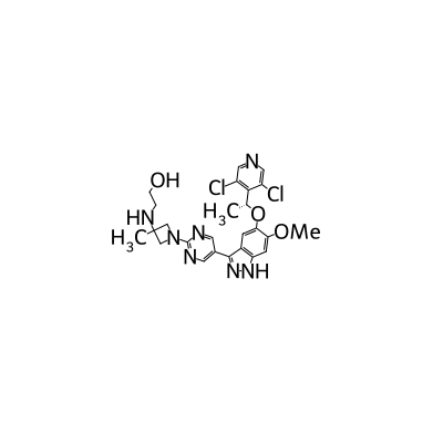 COc1cc2[nH]nc(-c3cnc(N4CC(C)(NCCO)C4)nc3)c2cc1O[C@H](C)c1c(Cl)cncc1Cl